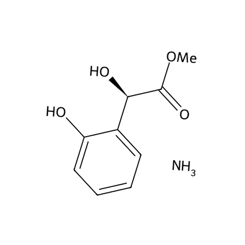 COC(=O)[C@H](O)c1ccccc1O.N